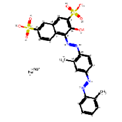 Cc1ccccc1N=Nc1ccc(N=Nc2c(O)c(S(=O)(=O)[O-])cc3cc(S(=O)(=O)[O-])ccc23)c(C)c1.[Na+].[Na+]